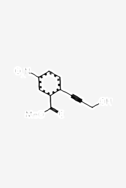 COC(=O)c1cc([N+](=O)[O-])ccc1C#CCO